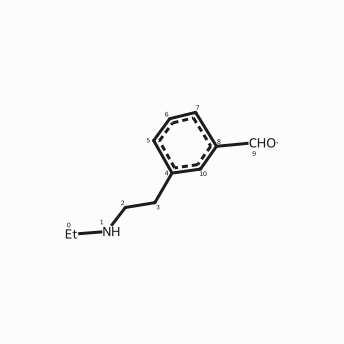 CCNCCc1cccc([C]=O)c1